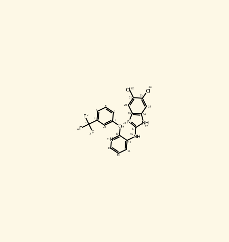 FC(F)(F)c1cccc(Oc2ncccc2Nc2nc3cc(Cl)c(Cl)cc3[nH]2)c1